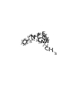 CCCc1nnc2c(C(F)(F)F)c(CN3CCC(c4ccccc4)CC3)ccn12